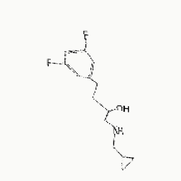 OC(CCc1cc(F)cc(F)c1)CNCC1CC1